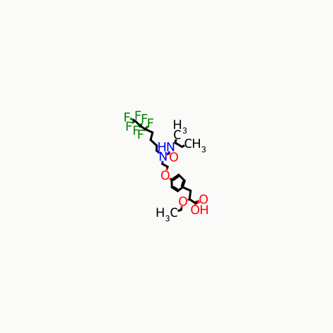 CCOC(Cc1ccc(OCCN(CCCCC(F)(F)C(F)(F)C(F)(F)F)C(=O)NC(C)CC)cc1)C(=O)O